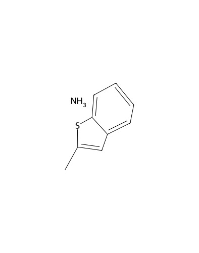 Cc1cc2ccccc2s1.N